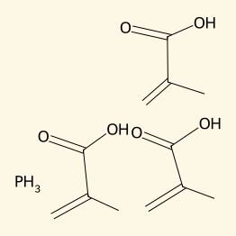 C=C(C)C(=O)O.C=C(C)C(=O)O.C=C(C)C(=O)O.P